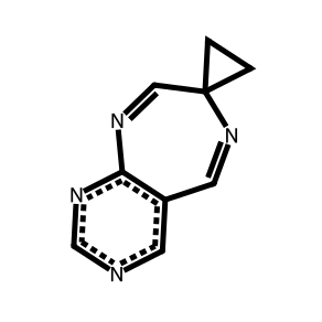 C1=Nc2ncncc2C=NC12CC2